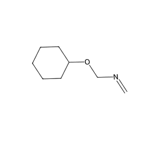 C=NCOC1CCCCC1